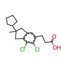 CC1(C2CCCC2)Cc2cc(CCC(=O)O)c(Cl)c(Cl)c2C1